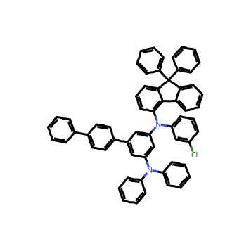 Clc1cccc(N(c2cc(-c3ccc(-c4ccccc4)cc3)cc(N(c3ccccc3)c3ccccc3)c2)c2cccc3c2-c2ccccc2C3(c2ccccc2)c2ccccc2)c1